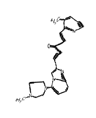 Cc1cccnc1/C=C/C(=O)/C=C/c1cn2c(N3CCN(C)CC3)cccc2n1